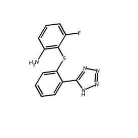 Nc1cccc(F)c1Sc1ccccc1-c1nnn[nH]1